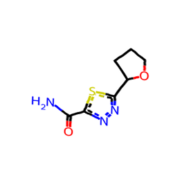 NC(=O)c1nnc(C2CCCO2)s1